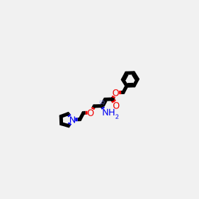 N/C(=C\C(=O)OCc1ccccc1)COCCN1CCCC1